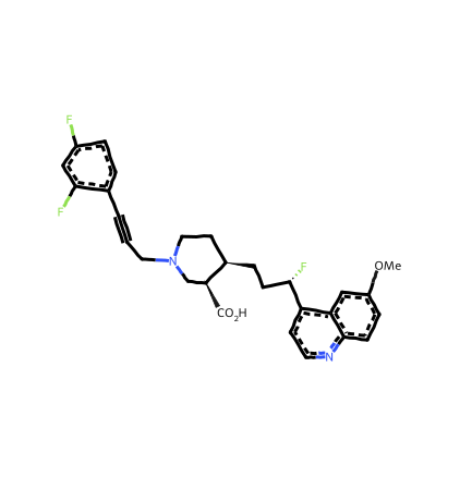 COc1ccc2nccc([C@@H](F)CC[C@@H]3CCN(CC#Cc4ccc(F)cc4F)C[C@@H]3C(=O)O)c2c1